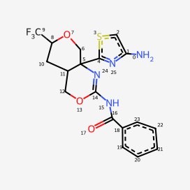 Nc1csc(C23COC(C(F)(F)F)CC2COC(NC(=O)c2ccccc2)=N3)n1